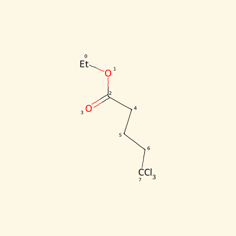 CCOC(=O)CCCC(Cl)(Cl)Cl